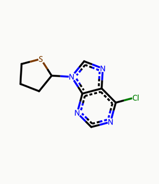 Clc1ncnc2c1ncn2C1CCCS1